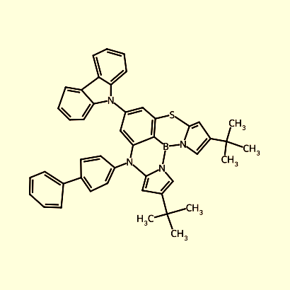 CC(C)(C)c1cc2n(c1)B1c3c(cc(-n4c5ccccc5c5ccccc54)cc3N(c3ccc(-c4ccccc4)cc3)c3cc(C(C)(C)C)cn31)S2